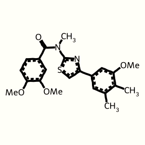 COc1ccc(C(=O)N(C)c2nc(-c3cc(C)c(C)c(OC)c3)cs2)cc1OC